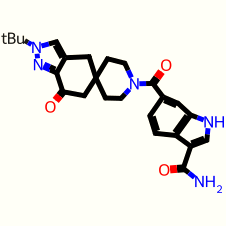 CC(C)(C)n1cc2c(n1)C(=O)CC1(CCN(C(=O)c3ccc4c(C(N)=O)c[nH]c4c3)CC1)C2